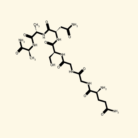 C[C@H](NC(=O)[C@H](C)NC(=O)[C@H](CC(N)=O)NC(=O)[C@H](CO)NC(=O)CNC(=O)CNC(=O)[C@@H](N)CCC(N)=O)C(N)=O